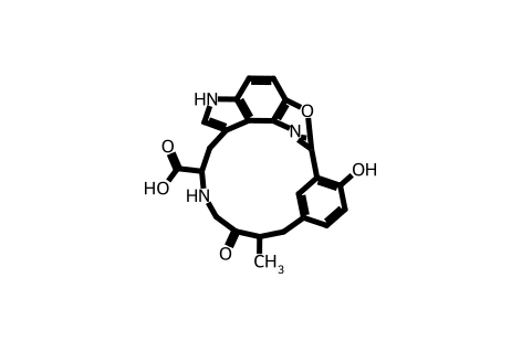 CC1Cc2ccc(O)c(c2)-c2nc3c(ccc4[nH]cc(c43)CC(C(=O)O)NCC1=O)o2